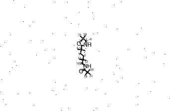 C[C@H](NC(=O)C(C)(C)CCC(C)(C)[C@@H](C)NC(=O)C(C)(C)C)C(C)(C)C